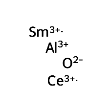 [Al+3].[Ce+3].[O-2].[Sm+3]